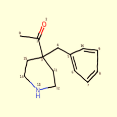 CC(=O)C1(Cc2ccccc2)CCNCC1